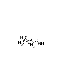 C[C](C)(C)[V][CH2]C=N